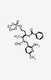 CCOP(=O)(OCC)OCC/C(SC(=O)c1ccccc1)=C(\C)N(C=O)Cc1ccc(C)nc1N